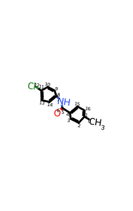 Cc1ccc(C(=O)Nc2ccc(Cl)cc2)cc1